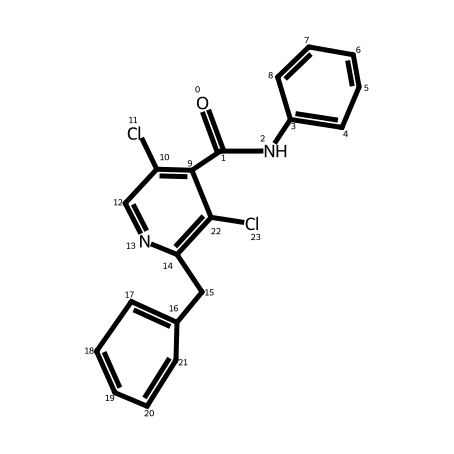 O=C(Nc1ccccc1)c1c(Cl)cnc(Cc2ccccc2)c1Cl